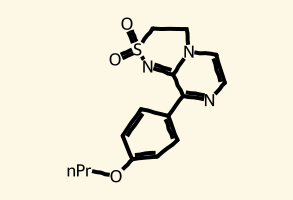 CCCOc1ccc(C2=NC=CN3CCS(=O)(=O)N=C23)cc1